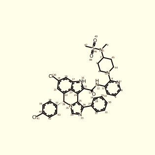 CN(C1CCN(c2ncccc2NC(=O)c2[nH]c3cc(Cl)cc4c3c2-c2c(-c3ccccc3)ncn2[C@@H]4c2ccc(Cl)cc2)CC1)S(C)(=O)=O